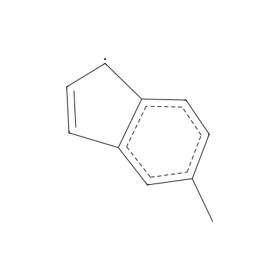 Cc1ccc2c(c1)C=C[CH]2